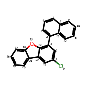 Clc1cc(-c2cccc3ccccc23)c2oc3ccccc3c2c1